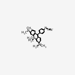 CN(C)c1ccc2c(c1)[Si](C)(C)C1=CC(=[N+](C)C)C=CC1=C2c1ccc(N=[N+]=[N-])cc1